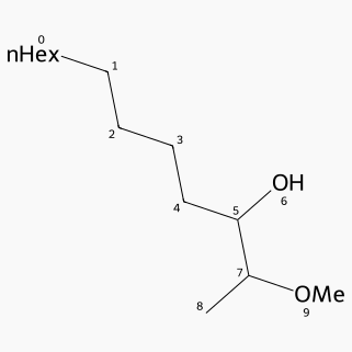 CCCCCCCCCCC(O)C(C)OC